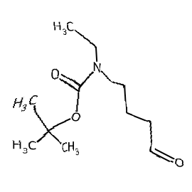 CCN(CCCC=O)C(=O)OC(C)(C)C